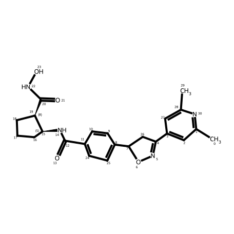 Cc1cc(C2=NOC(c3ccc(C(=O)N[C@H]4CCC[C@H]4C(=O)NO)cc3)C2)cc(C)n1